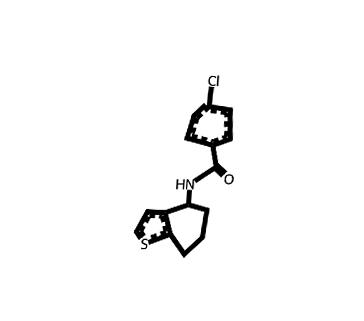 O=C(NC1CCCc2sccc21)c1ccc(Cl)cc1